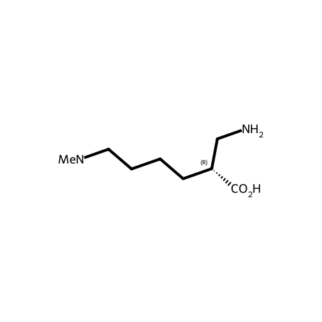 CNCCCC[C@H](CN)C(=O)O